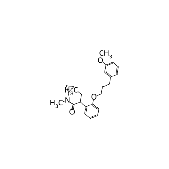 CCC(C(=O)N(C)C1CC1)c1ccccc1OCCCc1cccc(OC)c1